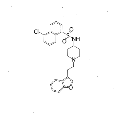 O=S(=O)(NC1CCN(CCc2coc3ccccc23)CC1)c1cccc2c(Cl)cccc12